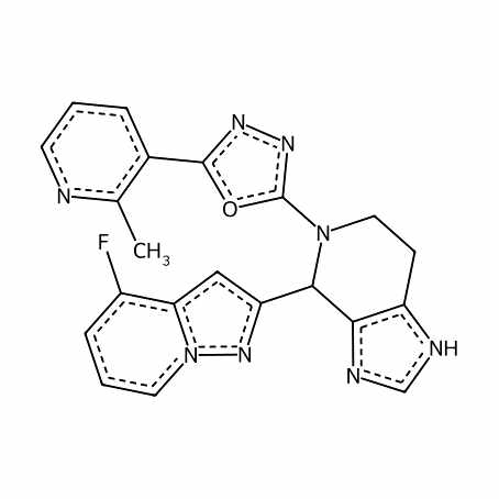 Cc1ncccc1-c1nnc(N2CCc3[nH]cnc3C2c2cc3c(F)cccn3n2)o1